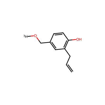 [3H]OCc1ccc(O)c(CC=C)c1